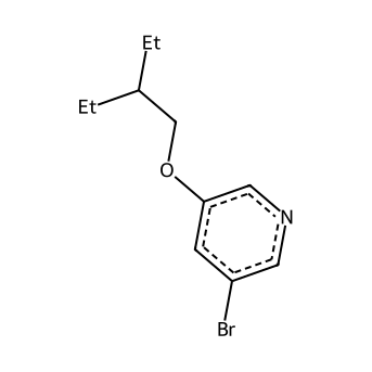 CCC(CC)COc1cncc(Br)c1